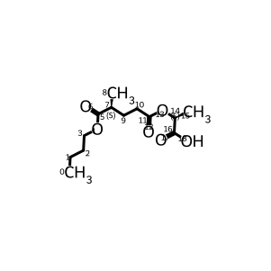 CCCCOC(=O)[C@@H](C)CCC(=O)O[C@@H](C)C(=O)O